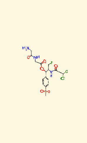 CS(=O)(=O)c1ccc([C@@H](OC(=O)CNC(=O)CN)[C@@H](CF)NC(=O)C(Cl)Cl)cc1